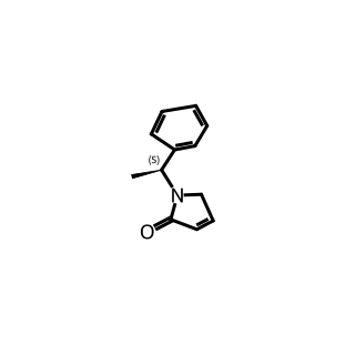 C[C@@H](c1ccccc1)N1CC=CC1=O